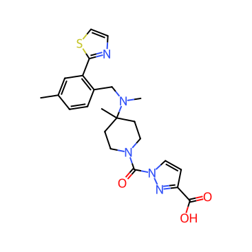 Cc1ccc(CN(C)C2(C)CCN(C(=O)n3ccc(C(=O)O)n3)CC2)c(-c2nccs2)c1